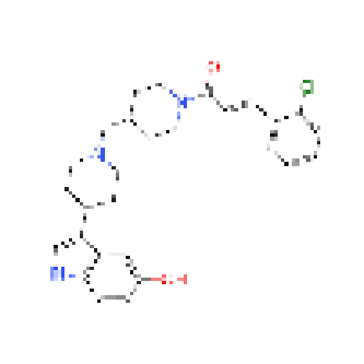 O=C(C=Cc1ccccc1Cl)N1CCC(CN2CCC(c3c[nH]c4ccc(O)cc34)CC2)CC1